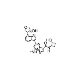 CNc1cc(-c2cnc3n(C4COC[C@@H]4O)cccc2-3)nc2c(C(=O)NC3CCC3O)cnn12